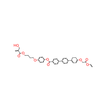 C=COC(=O)COC1=CC=C(c2ccc(-c3ccc(C(=O)Oc4ccc(OCCCCOC(=O)C(=C)CO)cc4)cc3)cc2)CC1